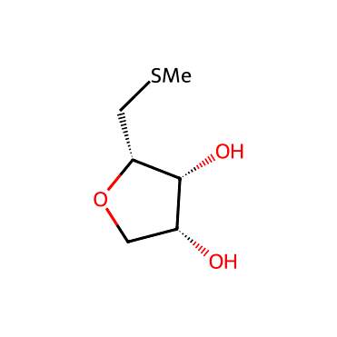 CSC[C@H]1OC[C@@H](O)[C@H]1O